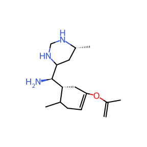 C=C(C)OC1=CCC(C)[C@H]([C@@H](N)C2C[C@@H](C)NCN2)C1